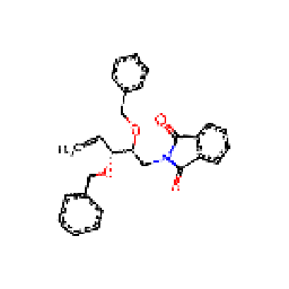 C=C[C@@H](OCc1ccccc1)[C@H](CN1C(=O)c2ccccc2C1=O)OCc1ccccc1